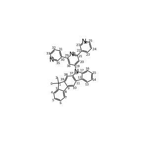 CC1(C)c2ccccc2-c2cc3c4ccccc4n(-c4cc(-c5cccnc5)nc(-c5cccnc5)c4)c3cc21